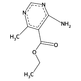 CCOC(=O)c1c(C)ncnc1N